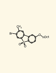 CCCCCCCCOc1ccc2c(c1)-c1cc(C)c(Br)cc1S2(=O)=O